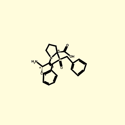 C[C@H](N)C(=O)N1CCC[C@]1(C(=O)O)P(=O)(Cc1ccccc1)Cc1ccccc1